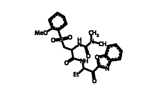 CCC(NC(=O)C(CS(=O)(=O)c1ccccc1OC)NC(=O)N(C)C)C(=O)c1nc2ccccc2o1